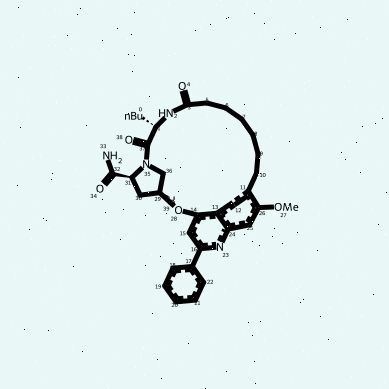 CCCC[C@@H]1NC(=O)CCCCCCc2cc3c(cc(-c4ccccc4)nc3cc2OC)O[C@@H]2C[C@@H](C(N)=O)N(C2)C1=O